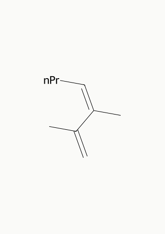 C=C(C)C(C)=CCCC